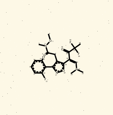 CON(C)C(=O)Cc1c(-c2c(F)cccc2Cl)noc1/C(=C\N(C)C)C(=O)C(C)(F)F